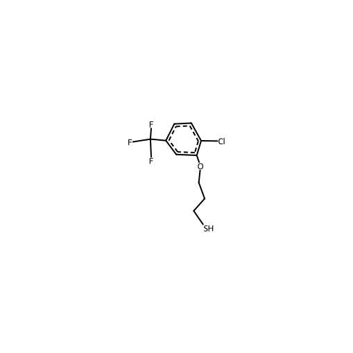 FC(F)(F)c1ccc(Cl)c(OCCCS)c1